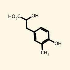 Cc1cc(CC(O)C(=O)O)ccc1O